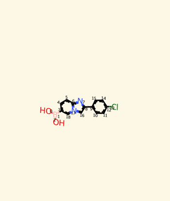 OB(O)c1ccc2nc(-c3ccc(Cl)cc3)cn2c1